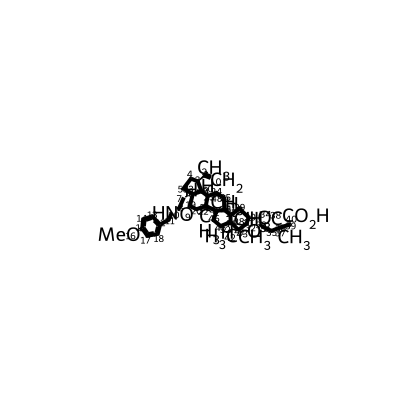 C=C(C)[C@@H]1CC[C@]2(CC(=O)NCc3ccc(OC)cc3)CC[C@]3(C)[C@H](CC[C@@H]4[C@@]5(C)CC[C@H](OC(=O)CC(C)(C)CC(=O)O)C(C)(C)[C@@H]5CC[C@]43C)[C@@H]12